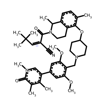 COc1cc(-c2cn(C)c(=O)c(C)c2C)cc(OC)c1CN1CCC(Oc2c(C)ccc3c2CCN(C(=O)/C(C#N)=C\C(C)(C)C)C3C)CC1